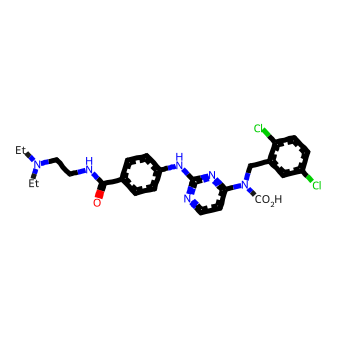 CCN(CC)CCNC(=O)c1ccc(Nc2nccc(N(Cc3cc(Cl)ccc3Cl)C(=O)O)n2)cc1